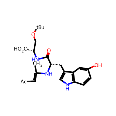 CC(=O)/C=C(\C)N[C@@H](Cc1c[nH]c2ccc(O)cc12)C(=O)N[C@@H](COC(C)(C)C)C(=O)O